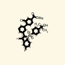 COC(=O)c1ccc(-c2cccc(-c3c(I)c4cc(F)ccc4n3S(=O)(=O)c3ccc(C(C)(C)O)cc3)c2)c(Cl)c1